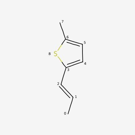 C/C=C/c1ccc(C)s1